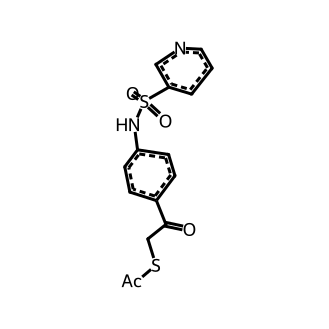 CC(=O)SCC(=O)c1ccc(NS(=O)(=O)c2cccnc2)cc1